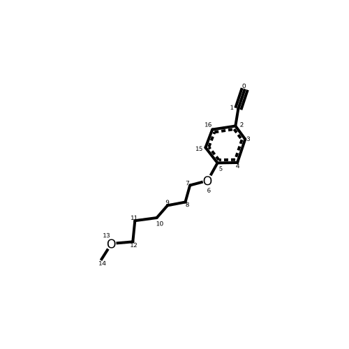 C#Cc1ccc(OCCCCCCOC)cc1